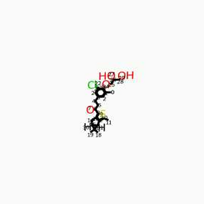 Cc1cc(CCC(=O)c2sc(C)c3c2C[C@@H]2[C@H]3C2(C)C)cc(Cl)c1OC[C@H](O)CO